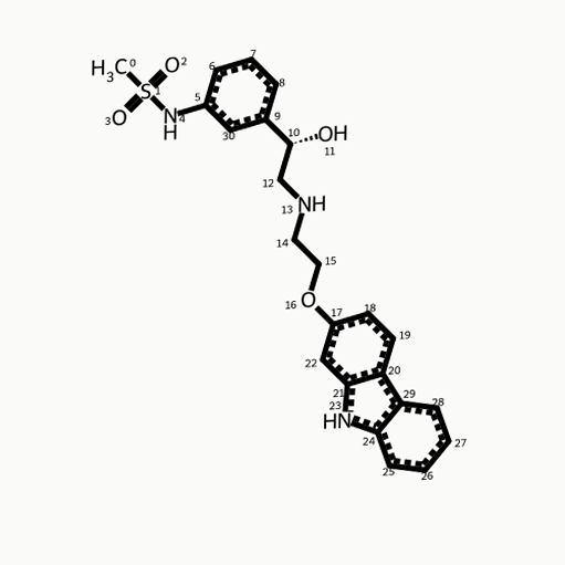 CS(=O)(=O)Nc1cccc([C@H](O)CNCCOc2ccc3c(c2)[nH]c2ccccc23)c1